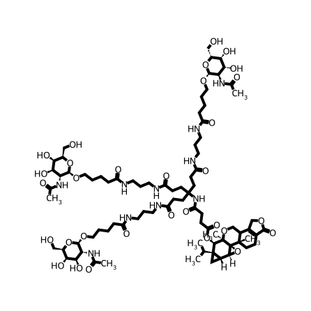 CC(=O)N[C@H]1[C@H](OCCCCC(=O)NCCCNC(=O)CCC(CCC(=O)NCCCNC(=O)CCCCO[C@@H]2O[C@H](CO)[C@H](O)[C@H](O)[C@H]2NC(C)=O)(CCC(=O)NCCCNC(=O)CCCCO[C@@H]2O[C@H](CO)[C@H](O)[C@H](O)[C@H]2NC(C)=O)NC(=O)CCC(=O)O[C@@H]2[C@@]3(C(C)C)C[C@H]3[C@@H]3O[C@@]34[C@@]3(C)CCC5=C(COC5=O)C3CO[C@]24C)O[C@H](CO)[C@H](O)[C@@H]1O